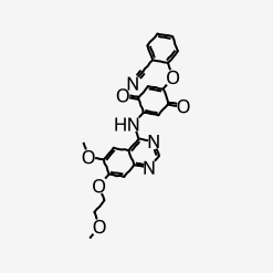 COCCOc1cc2ncnc(NC3=CC(=O)C(Oc4ccccc4C#N)=CC3=O)c2cc1OC